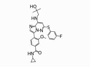 COc1cc(C(=O)NC2CC2)ccc1-c1cnc2c(NCC(C)(C)O)cc(Sc3cccc(F)c3)nn12